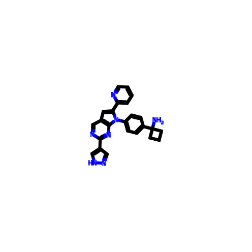 NC1(c2ccc(-n3c(-c4ccccn4)cc4cnc(-c5cn[nH]c5)nc43)cc2)CCC1